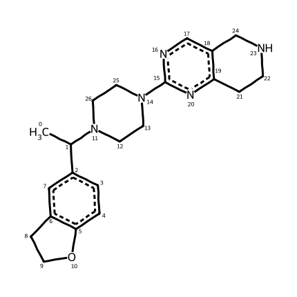 CC(c1ccc2c(c1)CCO2)N1CCN(c2ncc3c(n2)CCNC3)CC1